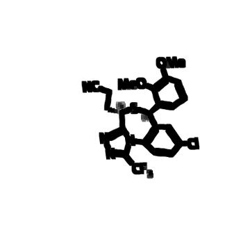 COc1cccc([C@@H]2S[C@@H](CCC#N)c3nnc(C(F)(F)F)n3-c3ccc(Cl)cc32)c1OC